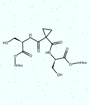 CCCCCCOC(=O)[C@@H](CO)NC(=O)C1(C(=O)N[C@H](CO)C(=O)OCCCCCC)CC1